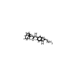 NCc1nc2cc(NC(=O)CC34CC5CC(CC(C5)C3)C4)ccc2[nH]1